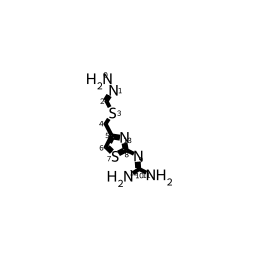 NN=CSCc1csc(N=C(N)N)n1